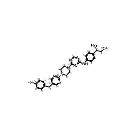 OC[C@H](O)c1ccc(Nc2ncnc(N3CCN(c4ncc(Cc5ccc(F)cc5)cn4)CC3)n2)cc1